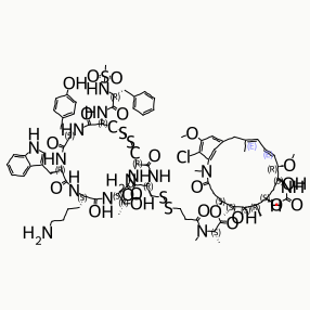 COc1cc2cc(c1Cl)N(C)C(=O)C[C@H](OC(=O)[C@H](C)N(C)C(=O)CCSSC[C@H](NC(=O)[C@@H]1CSSC[C@H](NC(=O)[C@@H](Cc3ccccc3)NS(C)(=O)=O)C(=O)N[C@@H](Cc3ccc(O)cc3)C(=O)N[C@H](Cc3c[nH]c4ccccc34)C(=O)N[C@@H](CCCCN)C(=O)N[C@@H]([C@@H](C)O)C(=O)N1)C(N)=O)[C@]1(C)O[C@H]1[C@H](C)[C@@H]1C[C@@](O)(NC(=O)O1)[C@H](OC)/C=C/C=C(\C)C2